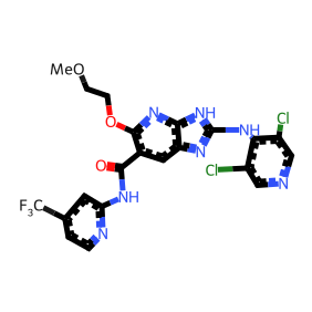 COCCOc1nc2[nH]c(Nc3c(Cl)cncc3Cl)nc2cc1C(=O)Nc1cc(C(F)(F)F)ccn1